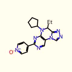 CCC1c2nncn2-c2cnc(-c3cc[n+]([O-])cc3)nc2N1C1CCCC1